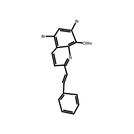 COc1c(Br)cc(Br)c2ccc(C=Cc3ccccc3)nc12